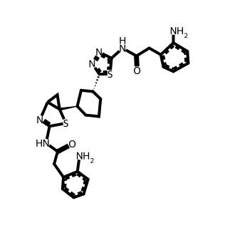 Nc1ccccc1CC(=O)NC1=NC2CC2([C@@H]2CCC[C@@H](c3nnc(NC(=O)Cc4ccccc4N)s3)C2)S1